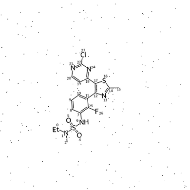 CCN(C)S(=O)(=O)Nc1cccc(-c2nc(C)sc2-c2ccnc(Cl)n2)c1F